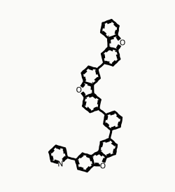 c1ccc(-c2ccc3oc4ccc(-c5cccc(-c6ccc7oc8ccc(-c9ccc%10oc%11ccccc%11c%10c9)cc8c7c6)c5)cc4c3c2)nc1